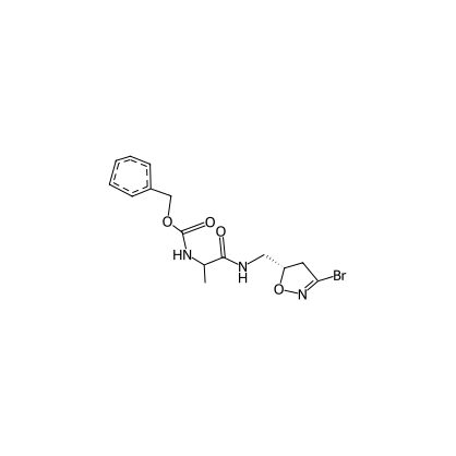 CC(NC(=O)OCc1ccccc1)C(=O)NC[C@@H]1CC(Br)=NO1